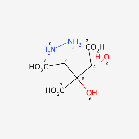 NN.O.O=C(O)CC(O)(CC(=O)O)C(=O)O